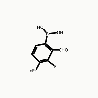 CCCc1ccc(B(O)O)c(C=O)c1F